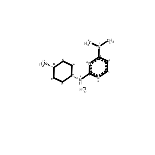 CN(C)c1ccnc(N[C@H]2CC[C@@H](N)CC2)n1.Cl